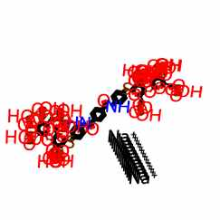 O=C(Nc1ccc(S[C@@H]2O[C@H](COS(=O)(=O)O)[C@@H](O[C@@H]3O[C@H](COS(=O)(=O)O)[C@@H](OS(=O)(=O)O)[C@H](OS(=O)(=O)O)[C@H]3OS(=O)(=O)O)[C@H](OS(=O)(=O)O)[C@H]2OS(=O)(=O)O)cc1)c1ccc(C(=O)Nc2ccc(S[C@@H]3O[C@H](COS(=O)(=O)O)[C@@H](O[C@@H]4O[C@H](COS(=O)(=O)O)[C@@H](OS(=O)(=O)O)[C@H](OS(=O)(=O)O)[C@H]4OS(=O)(=O)O)[C@H](OS(=O)(=O)O)[C@H]3OS(=O)(=O)O)cc2)cc1.[Na+].[Na+].[Na+].[Na+].[Na+].[Na+].[Na+].[Na+].[Na+].[Na+].[Na+].[Na+].[Na+].[Na+]